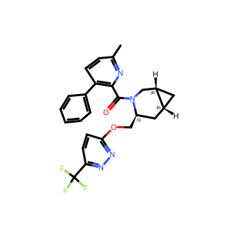 Cc1ccc(-c2ccccc2)c(C(=O)N2C[C@@H]3C[C@@H]3C[C@H]2COc2ccc(C(F)(F)F)nn2)n1